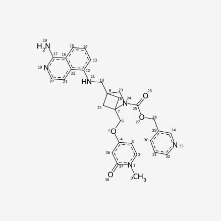 Cn1ccc(OCC23CC(CNc4cccc5c(N)nccc45)(CN2C(=O)OCc2cccnc2)C3)cc1=O